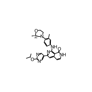 Cc1cc(Nc2nc(-c3cnc(OC(C)C)nc3)cc3cc[nH]c(=O)c23)ccc1N1CCO[C@H](C)C1